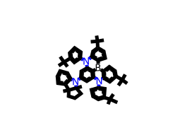 CC(C)(C)c1cccc(N2c3cc(C(C)(C)C)ccc3B3c4ccc(C(C)(C)C)cc4N(c4cccc(C(C)(C)C)c4)c4cc(N5c6ccccc6C6(C)CCCC56C)cc2c43)c1